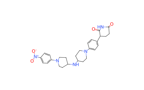 O=C1CCC(c2ccc(N3CCC(NC4CCN(c5ccc([N+](=O)[O-])cc5)CC4)CC3)cc2)C(=O)N1